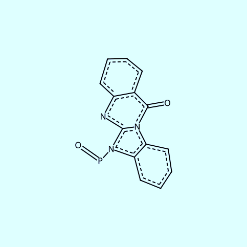 O=Pn1c2ccccc2n2c(=O)c3ccccc3nc12